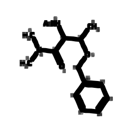 CC(=O)NC(C(=O)N(C)C)C(C)OCc1ccccc1